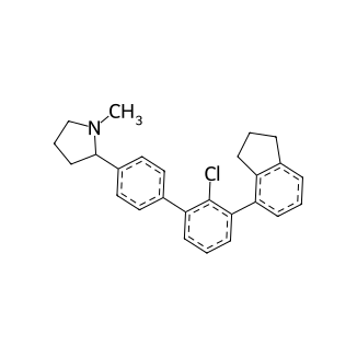 CN1CCCC1c1ccc(-c2cccc(-c3cccc4c3CCC4)c2Cl)cc1